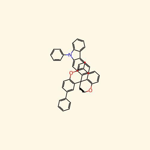 c1ccc(-c2ccc3c(c2)C2(c4ccccc4O3)c3ccccc3Oc3cccc(-c4ccc5c(c4)c4ccccc4n5-c4ccccc4)c32)cc1